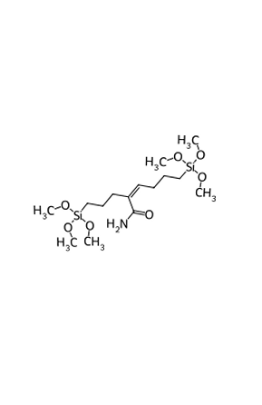 CO[Si](CCCC=C(CCC[Si](OC)(OC)OC)C(N)=O)(OC)OC